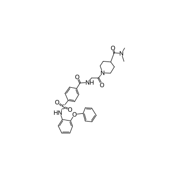 CN(C)C(=O)C1CCN(C(=O)CNC(=O)c2ccc(S(=O)(=O)Nc3ccccc3Oc3ccccc3)cc2)CC1